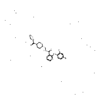 CCOC(=O)[C@H]1CC[C@H](CNC(=O)c2cccnc2Oc2ccc(F)cc2F)CC1